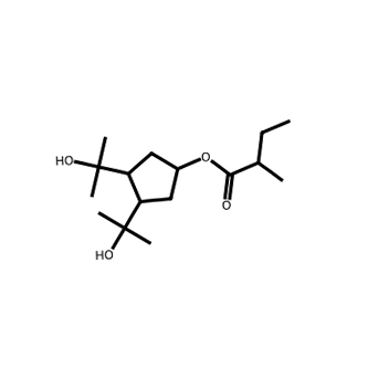 CCC(C)C(=O)OC1CC(C(C)(C)O)C(C(C)(C)O)C1